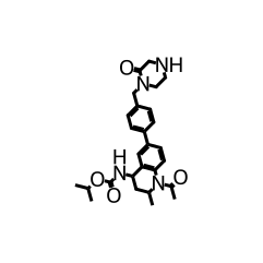 CC(=O)N1c2ccc(-c3ccc(CN4CCNCC4=O)cc3)cc2C(NC(=O)OC(C)C)CC1C